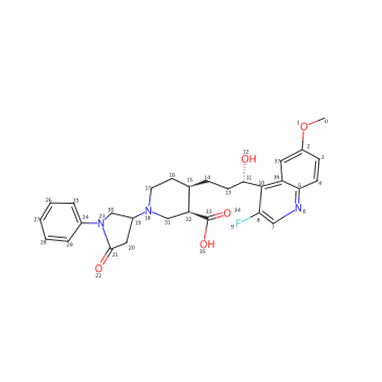 COc1ccc2ncc(F)c([C@@H](O)CC[C@@H]3CCN(C4CC(=O)N(c5ccccc5)C4)C[C@@H]3C(=O)O)c2c1